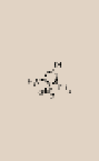 Cc1cc(S)cc(C)c1[N+](=O)[O-]